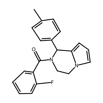 Cc1ccc(C2c3cccn3CCN2C(=O)c2ccccc2F)cc1